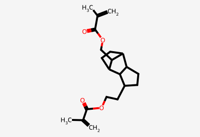 C=C(C)C(=O)OCCC1CCC2C3CCC(C3COC(=O)C(=C)C)C12